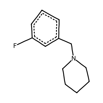 Fc1cccc(CN2CCCCC2)c1